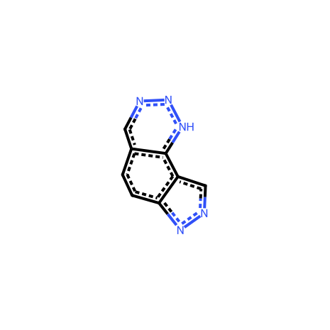 c1cc2nncc2c2[nH]nncc12